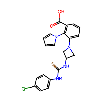 O=C(O)c1cccc(N2CC(NC(=S)Nc3ccc(Cl)cc3)C2)c1-n1cccc1